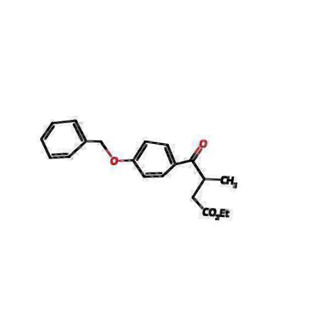 CCOC(=O)CC(C)C(=O)c1ccc(OCc2ccccc2)cc1